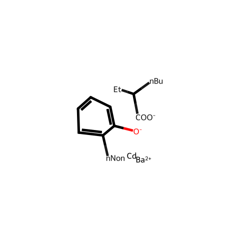 CCCCC(CC)C(=O)[O-].CCCCCCCCCc1ccccc1[O-].[Ba+2].[Cd]